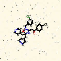 N#Cc1ccc(C(=O)/C=C2\NC(Cc3ccncc3)(Cc3ccncc3)C(=O)N2Cc2cccc(Cl)c2)cc1